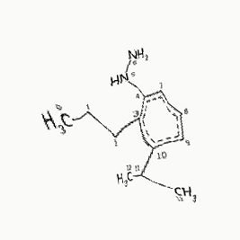 CCCc1c(NN)cccc1C(C)C